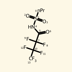 CCCS(=O)(=O)NC(=O)C(F)(F)C(F)(F)C(F)(F)F